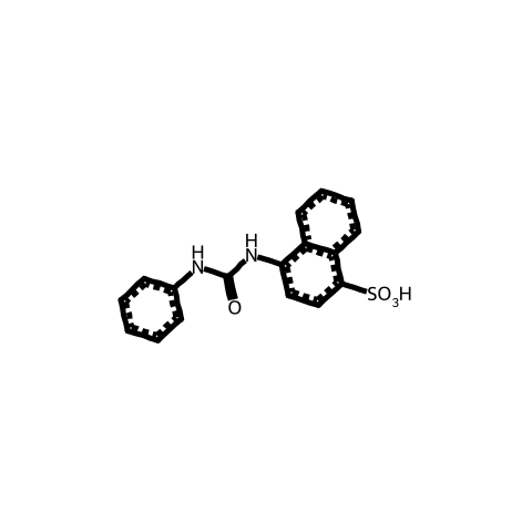 O=C(Nc1ccccc1)Nc1ccc(S(=O)(=O)O)c2ccccc12